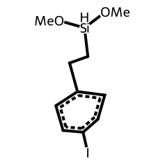 CO[SiH](CCc1ccc(I)cc1)OC